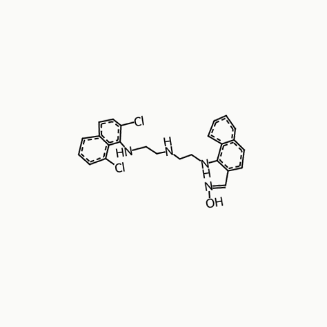 ON=Cc1ccc2ccccc2c1NCCNCCNc1c(Cl)ccc2cccc(Cl)c12